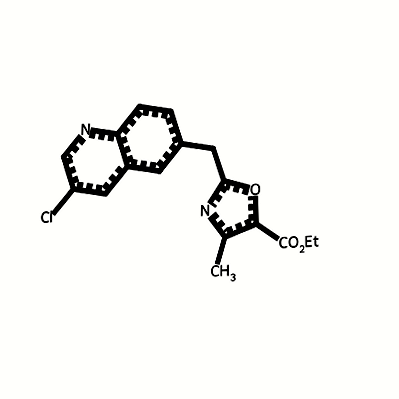 CCOC(=O)c1oc(Cc2ccc3ncc(Cl)cc3c2)nc1C